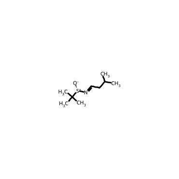 CC(C)CC=N[S@@+]([O-])C(C)(C)C